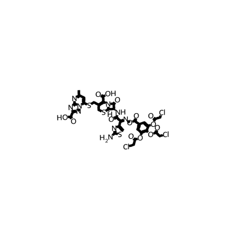 Cc1cc(SCC2=C(C(=O)O)N3C(=O)[C@@H](NC(=O)C(=NOC(=O)c4cc(OC(=O)CCl)c(OC(=O)CCl)c(OC(=O)CCl)c4)c4csc(N)n4)[C@H]3SC2)n2nc(C(=O)O)nc2n1